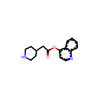 O=C(CC1CCNCC1)Oc1ccnc2ccccc12